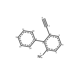 C#Cc1cccc(C#N)c1-c1ccccc1